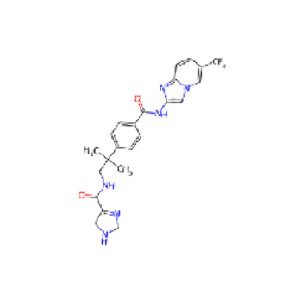 CC(C)(CNC(=O)C1=NCNC1)c1ccc(C(=O)Nc2cn3cc(C(F)(F)F)ccc3n2)cc1